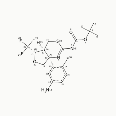 CC(C)(C)OC(=O)NC1=N[C@@]2(c3cc(N)ccc3F)CO[C@H](C(F)(F)F)[C@H]2CS1